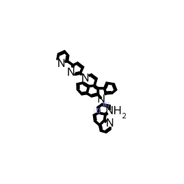 C=c1/c(=C\C(=C/N)n2c3ccccc3c3c4c5c(cccc5cc32)N(c2ccc(-c3ccccn3)nc2)C=C4)ccc2cccnc12